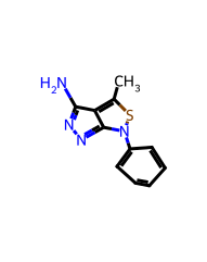 Cc1sn(-c2ccccc2)c2nnc(N)c1-2